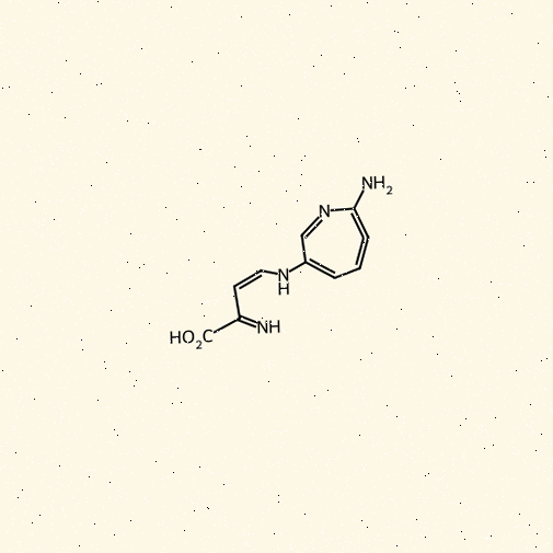 N=C(/C=C\NC1=CC=C=C(N)N=C1)C(=O)O